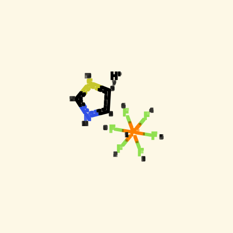 F[P-](F)(F)(F)(F)F.[H+].c1cscn1